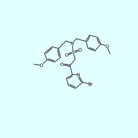 COc1ccc(CN(Cc2ccc(OC)cc2)S(=O)(=O)CC(=O)c2cccc(Br)n2)cc1